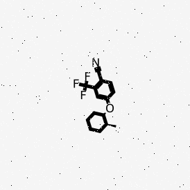 C[C@H]1CCCC[C@@H]1Oc1ccc(C#N)c(C(F)(F)F)c1